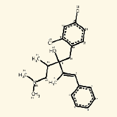 CC(=Cc1ccccc1)C(O)(Cc1ccc(Cl)cc1Cl)C(C)CN(C)C